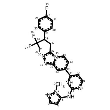 Cn1nccc1Nc1nccc(-c2ccn3c(CC(c4ccc(F)cc4)C(F)(F)F)nnc3c2)n1